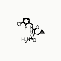 NC(=O)O[C@@H](CC1CC1)C(=O)NCc1cccc(Cl)c1F